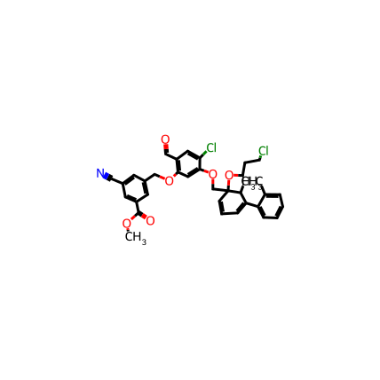 COC(=O)c1cc(C#N)cc(COc2cc(OCC3(OCCCCl)C=CC=C(c4ccccc4C)C3C)c(Cl)cc2C=O)c1